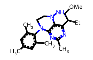 CCC(COC)c1nc(C)nc2c1N(N)CCN2c1c(C)cc(C)cc1C